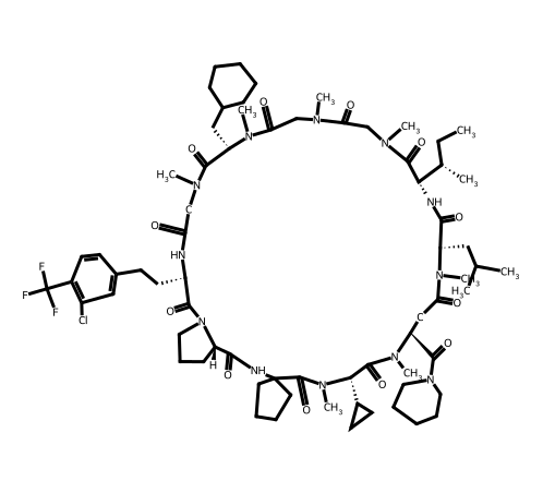 CC[C@H](C)[C@@H]1NC(=O)[C@H](CC(C)C)N(C)C(=O)C[C@@H](C(=O)N2CCCCC2)N(C)C(=O)[C@H](C2CC2)N(C)C(=O)C2(CCCC2)NC(=O)[C@@H]2CCCN2C(=O)[C@H](CCc2ccc(C(F)(F)F)c(Cl)c2)NC(=O)CN(C)C(=O)[C@H](CC2CCCCC2)N(C)C(=O)CN(C)C(=O)CN(C)C1=O